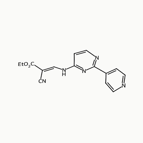 CCOC(=O)C(C#N)=CNc1ccnc(-c2ccncc2)n1